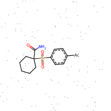 CC(=O)c1ccc(S(=O)(=O)C2(C(N)=O)CCCCC2)cc1